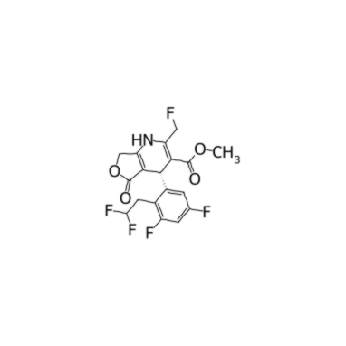 COC(=O)C1=C(CF)NC2=C(C(=O)OC2)[C@H]1c1cc(F)cc(F)c1CC(F)F